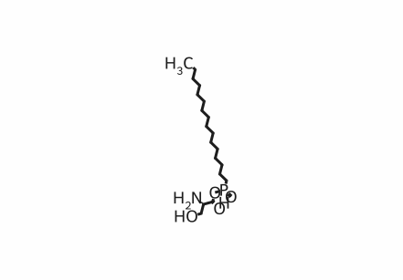 CCCCCCCCCCCCCCCC[PH](=O)OC(=O)[C@@H](N)CO